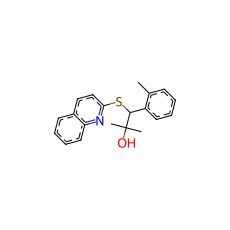 Cc1ccccc1C(Sc1ccc2ccccc2n1)C(C)(C)O